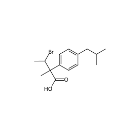 CC(C)Cc1ccc(C(C)(C(=O)O)C(C)Br)cc1